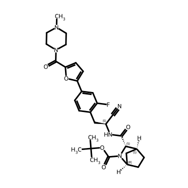 CN1CCN(C(=O)c2ccc(-c3ccc(C[C@@H](C#N)NC(=O)[C@@H]4[C@H]5CC[C@H](C5)N4C(=O)OC(C)(C)C)c(F)c3)o2)CC1